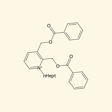 CCCCCCC[n+]1cccc(COC(=O)c2ccccc2)c1COC(=O)c1ccccc1